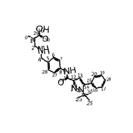 C[C@H](CNCc1ccc(NC(=O)c2cc(-c3ccccc3)n(C(C)(C)C)n2)cc1)C(=O)O